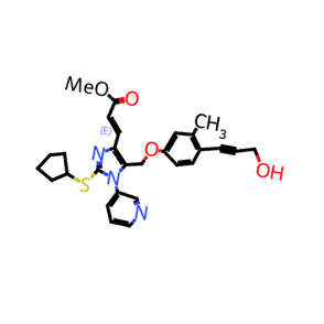 COC(=O)/C=C/c1nc(SC2CCCC2)n(-c2cccnc2)c1COc1ccc(C#CCO)c(C)c1